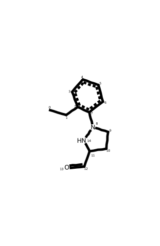 CCc1ccccc1N1CCC(C=O)N1